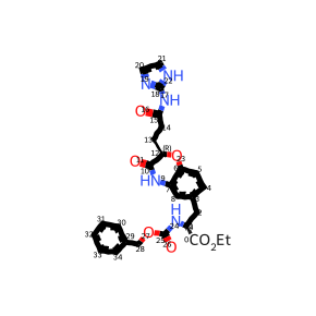 CCOC(=O)[C@H](Cc1ccc2c(c1)NC(=O)[C@@H](CCC(=O)Nc1ncc[nH]1)O2)NC(=O)OCc1ccccc1